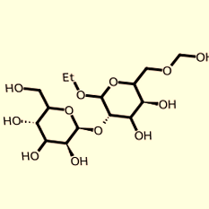 CCOC1OC(COCO)[C@@H](O)C(O)[C@@H]1O[C@@H]1OC(CO)[C@@H](O)C(O)[C@@H]1O